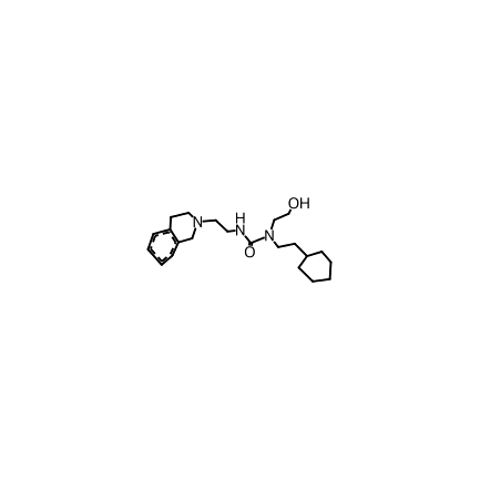 O=C(NCCN1CCc2ccccc2C1)N(CCO)CCC1CCCCC1